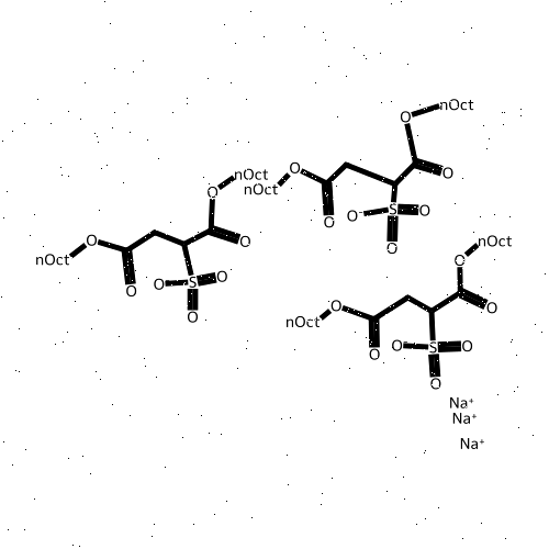 CCCCCCCCOC(=O)CC(C(=O)OCCCCCCCC)S(=O)(=O)[O-].CCCCCCCCOC(=O)CC(C(=O)OCCCCCCCC)S(=O)(=O)[O-].CCCCCCCCOC(=O)CC(C(=O)OCCCCCCCC)S(=O)(=O)[O-].[Na+].[Na+].[Na+]